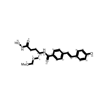 COCOC[C@H](CCC(=O)NO)NC(=O)c1ccc(C=Cc2ccc(Cl)cc2)cc1